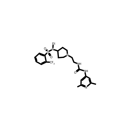 CCN(C1CCN(CCNC(=O)Nc2cc(C)nc(C)c2)CC1)S(=O)(=O)c1ccccc1C(F)(F)F